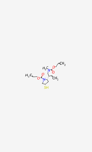 C=CCOC(=O)N(C)CC(C=C)[C@@H]1C[C@H](S)CN1C(=O)OCC=C